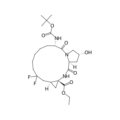 CCOC(=O)[C@@]12C[C@H]1CC(F)(F)CCCCC[C@H](NC(=O)OC(C)(C)C)C(=O)N1C[C@H](O)C[C@H]1C(=O)N2